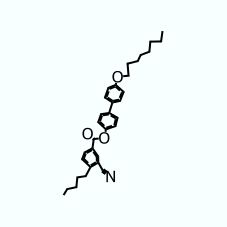 CCCCCCCCOc1ccc(-c2ccc(OC(=O)c3ccc(CCCCC)c(C#N)c3)cc2)cc1